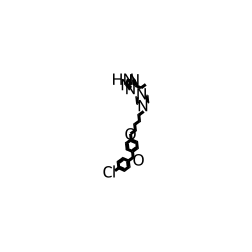 CC(c1nn[nH]n1)N1CCN(CCCCCOc2ccc(C(=O)c3ccc(Cl)cc3)cc2)CC1